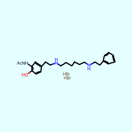 Br.Br.CC(=O)Nc1cc(CCNCCCCCCNCCc2ccccc2)ccc1O